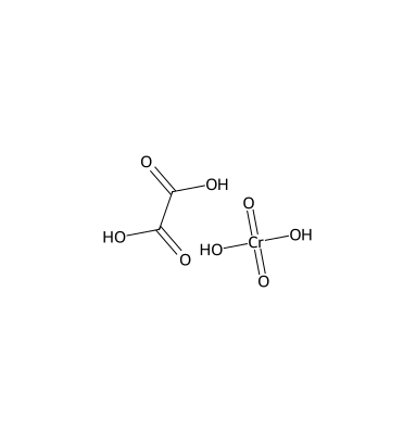 O=C(O)C(=O)O.[O]=[Cr](=[O])([OH])[OH]